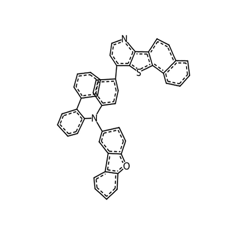 c1ccc(-c2ccccc2N(c2ccc(-c3ccnc4c3sc3c5ccccc5ccc43)cc2)c2ccc3oc4ccccc4c3c2)cc1